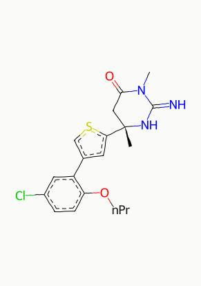 CCCOc1ccc(Cl)cc1-c1csc([C@]2(C)CC(=O)N(C)C(=N)N2)c1